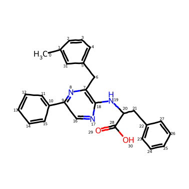 Cc1cccc(Cc2nc(-c3ccccc3)cnc2NC(Cc2ccccc2)C(=O)O)c1